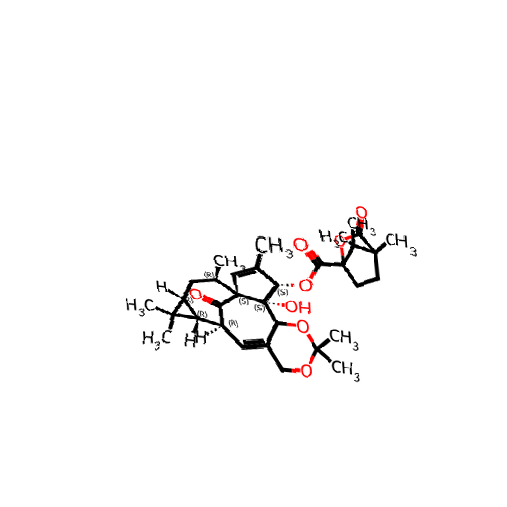 CC1=C[C@]23C(=O)[C@@H](C=C4COC(C)(C)OC4[C@]2(O)[C@H]1OC(=O)C12CCC(C)(C(=O)O1)C2(C)C)[C@H]1[C@@H](C[C@H]3C)C1(C)C